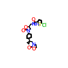 O=C(NCC1CN(c2ccc(C3(CN4CCOC4=O)CC3)cc2)C(=O)O1)c1ccc(Cl)s1